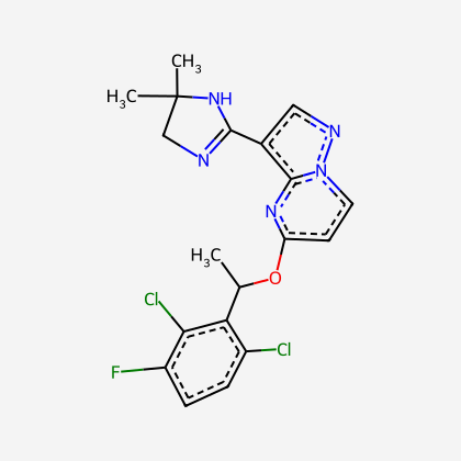 CC(Oc1ccn2ncc(C3=NCC(C)(C)N3)c2n1)c1c(Cl)ccc(F)c1Cl